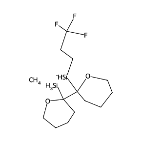 C.C[SiH](CCC(F)(F)F)C1(C2([SiH3])CCCCO2)CCCCO1